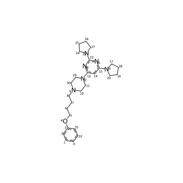 c1ccc(OCCCCN2CCN(c3cc(N4CCCC4)nc(N4CCCC4)n3)CC2)cc1